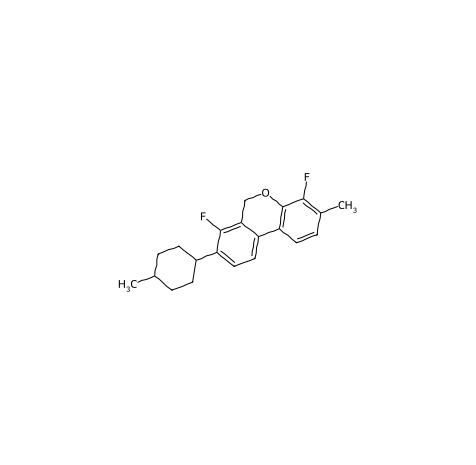 Cc1ccc2c(c1F)OCc1c-2ccc(C2CCC(C)CC2)c1F